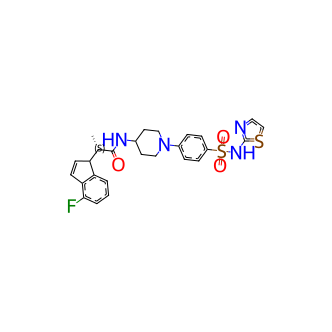 C[C@H](C(=O)NC1CCN(c2ccc(S(=O)(=O)Nc3nccs3)cc2)CC1)C1C=Cc2c(F)cccc21